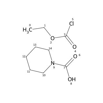 CCOC(=O)Cl.O=C(O)N1CCCCC1